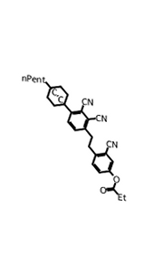 CCCCCC12CCC(c3ccc(CCc4ccc(OC(=O)CC)cc4C#N)c(C#N)c3C#N)(CC1)CC2